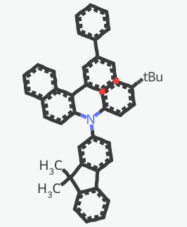 CC(C)(C)c1ccc(N(c2ccc3c(c2)C(C)(C)c2ccccc2-3)c2ccc3ccccc3c2-c2cccc(-c3ccccc3)c2)cc1